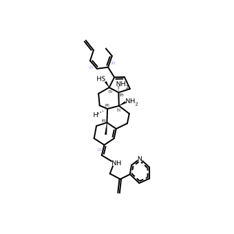 C=C/C=C\C(=C/C)C1=CC[C@]2(N)[C@]1(S)CC[C@@H]1[C@@]3(C)CC/C(=C/NCC(=C)c4cccnc4)C=C3CC[C@]12N